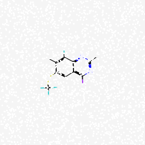 Cc1nc(I)c2cc(SC(F)(F)F)c(C)c(F)c2n1